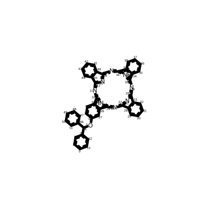 c1ccc(C(Oc2ccc3c4nc5nc(nc6[nH]c(nc7nc(nc([nH]4)c3c2)-c2ccccc2-7)c2ccccc62)-c2ccccc2-5)c2ccccc2)cc1